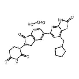 O=C1CCC(N2Cc3cc(-c4cc(CN5CCCC5)c5c(n4)NC(=O)C5)ccc3C2=O)C(=O)N1.O=CO